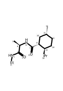 CCNC(=O)[C@@H](C)NC(=O)[C@@H]1C[C@H](C)CC[C@H]1C(C)C